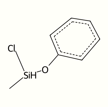 C[SiH](Cl)Oc1ccccc1